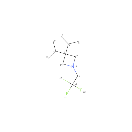 CC(C)C1(C(C)C)CN(CC(F)(F)F)C1